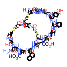 C[C@H]1CSCCC(=O)N2CC34CN5CC3(CN(C4)C(=O)CCSC[C@@H](C(N)=O)NC(=O)[C@H](C(C)(C)C)NC(=O)[C@H](CC(=O)O)NC(=O)[C@H](Cc3ccc(O)cc3)NC(=O)[C@H](Cc3ccccc3)NC(=O)[C@H](CC(=O)O)NC(=O)[C@@H]3CC(C(=O)O)[C@@H](NC(=O)[C@H](Cc4cccc6ccccc46)NC(=O)[C@H](CCC(=O)O)NC(=O)[C@H](CC(N)=O)NC(O)[C@@H](C)NC1=O)C(=O)N/C(=C/N3)CSCCC5=O)C2